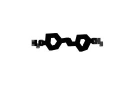 CC1=CCC(C=CC2CC=C(C)CC2)CC1